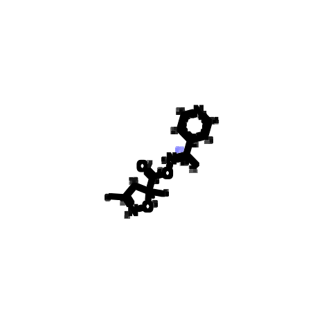 CC1=NOC(C)(C(=O)O/N=C(\C)c2ccncc2)C1